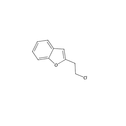 ClCCc1cc2ccccc2o1